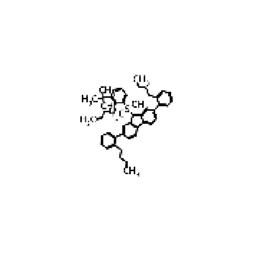 C=CCOc1c(C(C)(C)C)cccc1[Si](C)(C)C1c2cc(-c3ccccc3CCCC)ccc2-c2ccc(-c3ccccc3CCCC)cc21